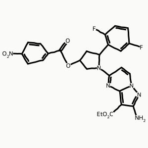 CCOC(=O)c1c(N)nn2ccc(N3CC(OC(=O)c4ccc([N+](=O)[O-])cc4)CC3c3cc(F)ccc3F)nc12